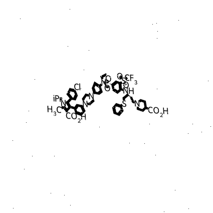 Cc1c(C(=O)O)c(-c2cccc(N3CCN(c4ccc(N5CCO[P@]5(=O)c5ccc(N[C@H](CCN6CCC(C(=O)O)CC6)CSc6ccccc6)c(S(=O)(=O)C(F)(F)F)c5)cc4)CC3)c2)c(-c2ccc(Cl)cc2)n1C(C)C